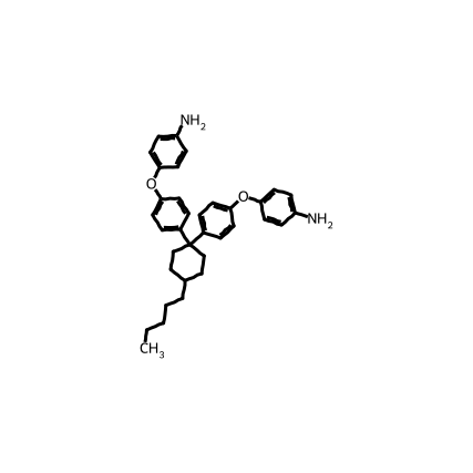 CCCCCC1CCC(c2ccc(Oc3ccc(N)cc3)cc2)(c2ccc(Oc3ccc(N)cc3)cc2)CC1